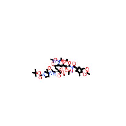 COC(=O)[C@@]1(CC2COCC3(CCN(C(=O)OC(C)(C)C)C3)N2)C[C@H](OC(C)=O)[C@@H](NC(C)=O)[C@H]([C@H](OC(C)=O)[C@@H](CNC(=O)c2cc(C)c(OC(C)=O)c(C)c2)OC(C)=O)O1